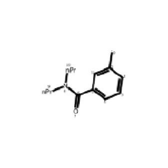 [CH2]c1cccc(C(=O)N(CCC)CCC)c1